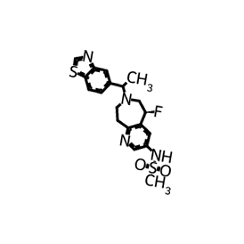 CC(c1ccc2scnc2c1)N1CCc2ncc(NS(C)(=O)=O)cc2[C@H](F)C1